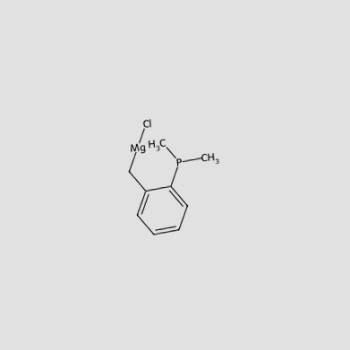 CP(C)c1ccccc1[CH2][Mg][Cl]